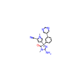 CN1C(=O)[C@](c2cccc(-c3cncnc3)c2)(c2cc(C#N)n(C)c2)N=C1N